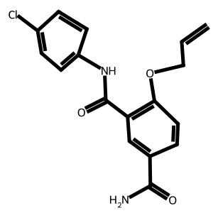 C=CCOc1ccc(C(N)=O)cc1C(=O)Nc1ccc(Cl)cc1